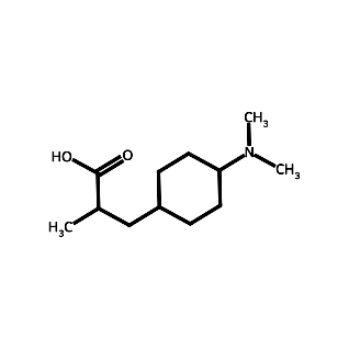 CC(CC1CCC(N(C)C)CC1)C(=O)O